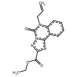 C=CCn1c(=O)n2nc(C(=O)OCC)nc2c2ccccc21